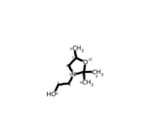 CC1CN(CCO)C(C)(C)O1